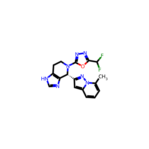 Cc1cccc2cc([C@@H]3c4nc[nH]c4CCN3c3nnc(C(F)F)o3)nn12